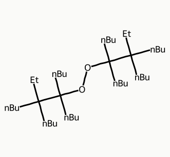 CCCCC(CC)(CCCC)C(CCCC)(CCCC)OOC(CCCC)(CCCC)C(CC)(CCCC)CCCC